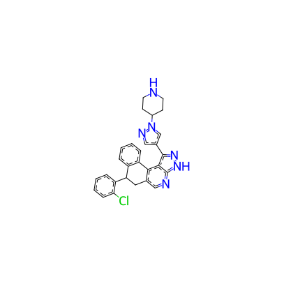 Clc1ccccc1C1Cc2cnc3[nH]nc(-c4cnn(C5CCNCC5)c4)c3c2-c2ccccc21